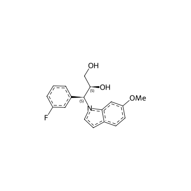 COc1ccc2ccn([C@@H](c3cccc(F)c3)[C@H](O)CO)c2c1